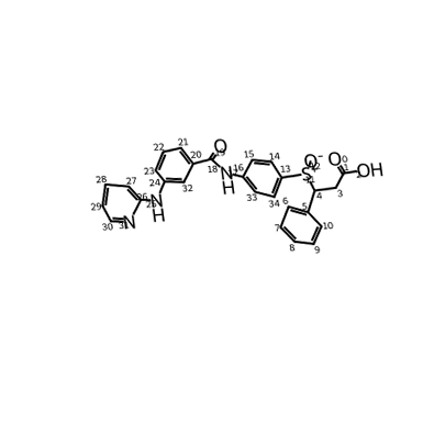 O=C(O)CC(c1ccccc1)[S+]([O-])c1ccc(NC(=O)c2cccc(Nc3ccccn3)c2)cc1